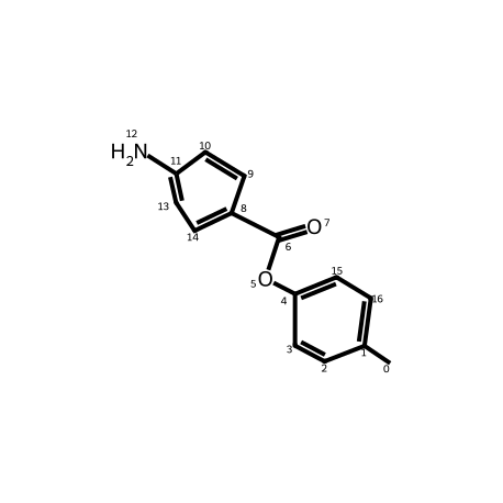 Cc1ccc(OC(=O)c2ccc(N)cc2)cc1